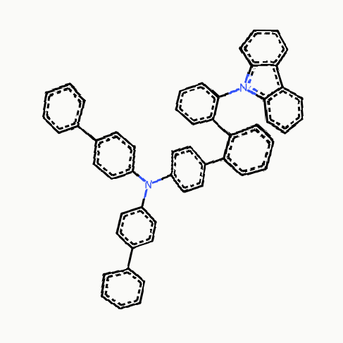 c1ccc(-c2ccc(N(c3ccc(-c4ccccc4)cc3)c3ccc(-c4ccccc4-c4ccccc4-n4c5ccccc5c5ccccc54)cc3)cc2)cc1